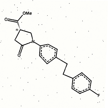 COC(=O)[C@H]1CC(=O)N(c2ccc(CCc3ccc(F)cc3)cc2)C1